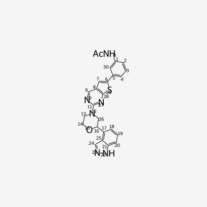 CC(=O)Nc1cccc(-c2cc3cnc(N4CCOC(c5cccc6[nH]ncc56)C4)nc3s2)c1